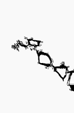 CC(C)(C)OC(=O)N1CCC(N2CCC(N[C@H]3CCCC[C@@H]3CN=[N+]=[N-])CC2)CC1